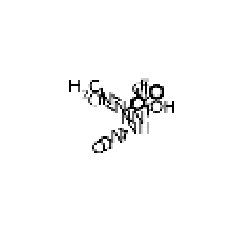 C=CC(=O)N1CCN(c2nc(NC3CN(C4CCOCC4)C3)nc3c(F)c(-c4c(O)cccc4F)c(Cl)cc23)CC1